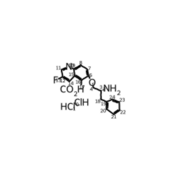 Cl.Cl.N[C@@H](COc1ccc2ncc(F)cc2c1C(=O)O)Cc1ccccc1